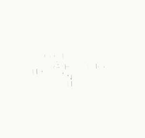 CCCCCCCCNC(=O)[AsH]C(C)C(=O)O